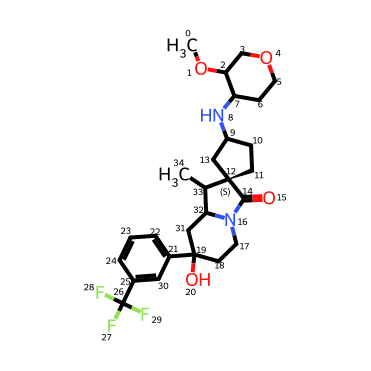 COC1COCCC1NC1CC[C@@]2(C1)C(=O)N1CCC(O)(c3cccc(C(F)(F)F)c3)CC1C2C